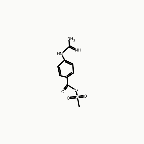 CS(=O)(=O)OC(=O)c1ccc(NC(=N)N)cc1